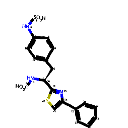 O=C(O)N[C@@H](Cc1ccc(NS(=O)(=O)O)cc1)c1nc(-c2ccccc2)cs1